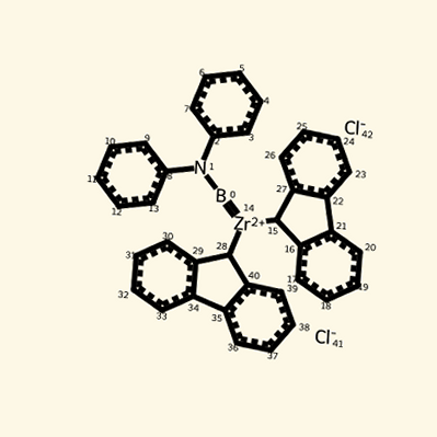 [B](N(c1ccccc1)c1ccccc1)=[Zr+2]([CH]1c2ccccc2-c2ccccc21)[CH]1c2ccccc2-c2ccccc21.[Cl-].[Cl-]